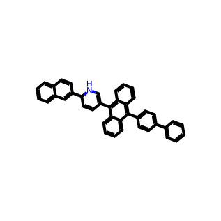 C1=CC(c2ccc3ccccc3c2)NC=C1c1c2ccccc2c(-c2ccc(-c3ccccc3)cc2)c2ccccc12